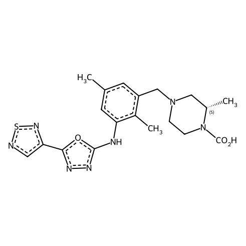 Cc1cc(CN2CCN(C(=O)O)[C@@H](C)C2)c(C)c(Nc2nnc(-c3cnsn3)o2)c1